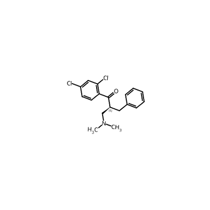 CN(C)C[C@H](Cc1ccccc1)C(=O)c1ccc(Cl)cc1Cl